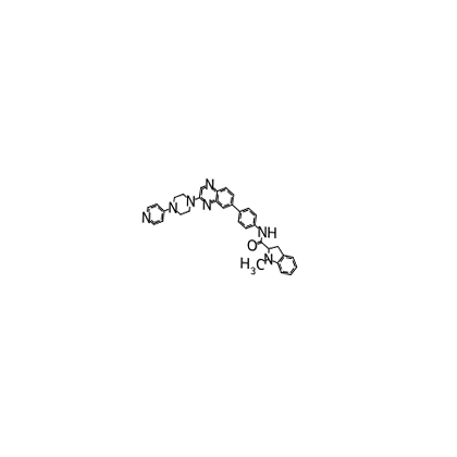 CN1c2ccccc2CC1C(=O)Nc1ccc(-c2ccc3ncc(N4CCN(c5ccncc5)CC4)nc3c2)cc1